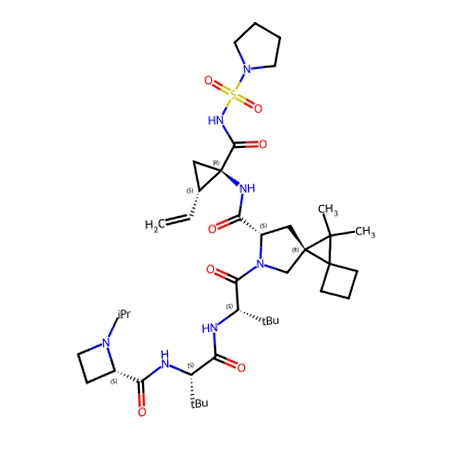 C=C[C@@H]1C[C@]1(NC(=O)[C@@H]1C[C@@]2(CN1C(=O)[C@@H](NC(=O)[C@@H](NC(=O)[C@@H]1CCN1C(C)C)C(C)(C)C)C(C)(C)C)C(C)(C)C21CCC1)C(=O)NS(=O)(=O)N1CCCC1